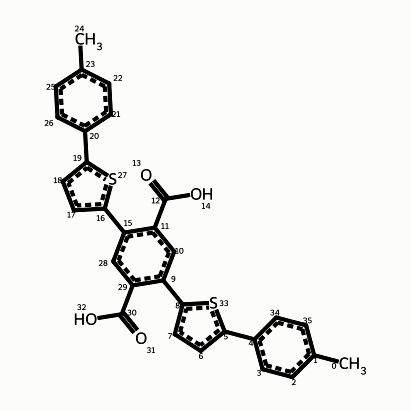 Cc1ccc(-c2ccc(-c3cc(C(=O)O)c(-c4ccc(-c5ccc(C)cc5)s4)cc3C(=O)O)s2)cc1